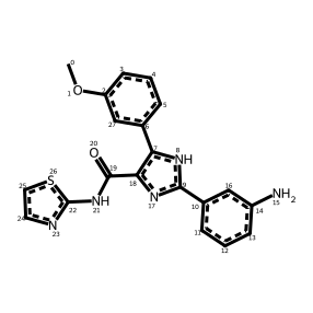 COc1cccc(-c2[nH]c(-c3cccc(N)c3)nc2C(=O)Nc2nccs2)c1